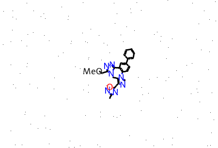 COCc1nnc2n1Cc1c(-c3nc(C)no3)ncn1-c1ccc(-c3ccccc3)cc1-2